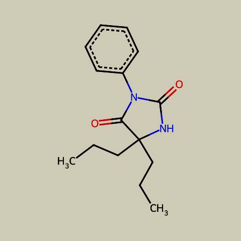 CCCC1(CCC)NC(=O)N(c2ccccc2)C1=O